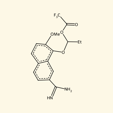 CCC(OC(=O)C(F)(F)F)Oc1c(OC)ccc2ccc(C(=N)N)cc12